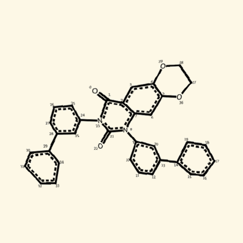 O=c1c2cc3c(cc2n(-c2cccc(-c4ccccc4)c2)c(=O)n1-c1cccc(-c2ccccc2)c1)OCCO3